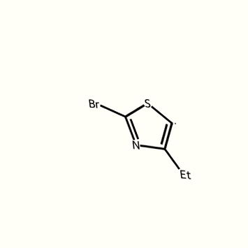 CCc1[c]sc(Br)n1